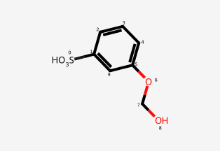 O=S(=O)(O)c1cccc(OCO)c1